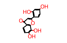 O=c1cc(-c2ccc(O)cc2O)oc2c(O)c(O)ccc12